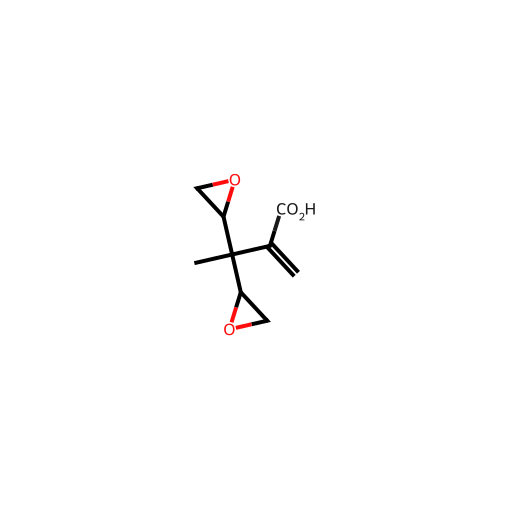 C=C(C(=O)O)C(C)(C1CO1)C1CO1